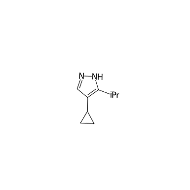 CC(C)c1[nH]ncc1C1CC1